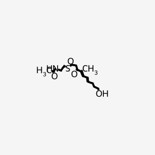 CC(=O)NCCSC(=O)CC(=O)/C(C)=C/C=C/CCCO